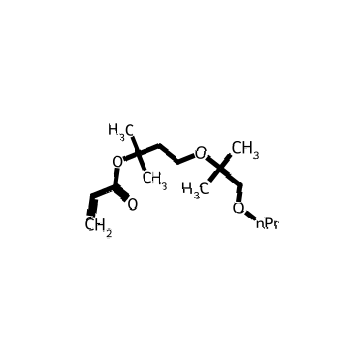 C=CC(=O)OC(C)(C)CCOC(C)(C)COCCC